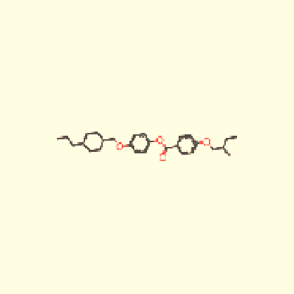 CCCC1CCC(COc2ccc(OC(=O)c3ccc(OCC(C)CC)cc3)cc2)CC1